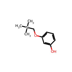 C[Si](C)(C)COc1cccc(O)c1